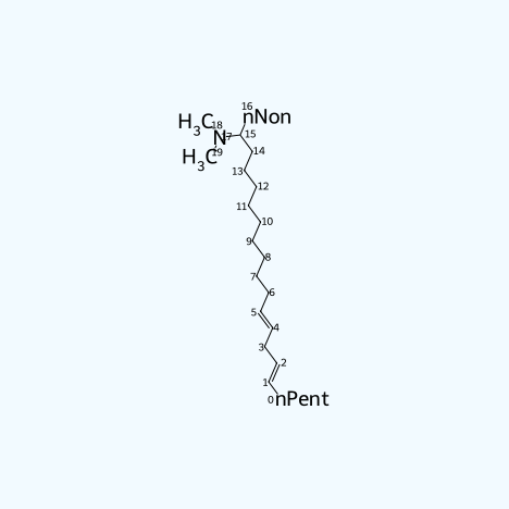 CCCCCC=CCC=CCCCCCCCCCC(CCCCCCCCC)N(C)C